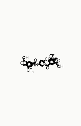 O=C(N[C@@H]1C[C@@H](C(=O)O)N(C(=O)c2cc3c(c(C(F)(F)F)c2)COB3O)C1)c1cc2c(c(C(F)(F)F)c1)COB2O